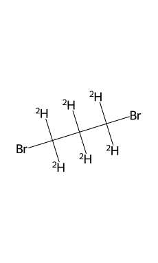 [2H]C([2H])(Br)C([2H])([2H])C([2H])([2H])Br